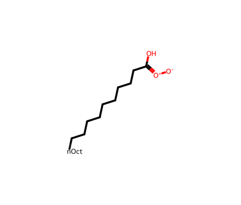 CCCCCCCCCCCCCCCCCC(O)=[O+][O-]